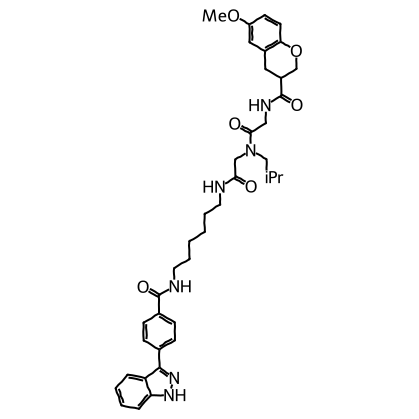 COc1ccc2c(c1)CC(C(=O)NCC(=O)N(CC(=O)NCCCCCCNC(=O)c1ccc(-c3n[nH]c4ccccc34)cc1)CC(C)C)CO2